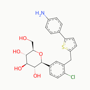 Nc1ccc(-c2ccc(Cc3cc([C@@H]4O[C@H](CO)[C@@H](O)[C@H](O)[C@H]4O)ccc3Cl)s2)cc1